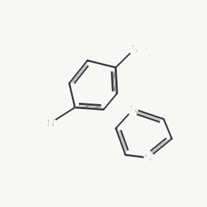 O=[N+]([O-])c1ccc([N+](=O)[O-])cc1.c1cnccn1